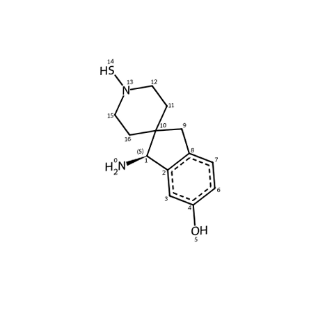 N[C@@H]1c2cc(O)ccc2CC12CCN(S)CC2